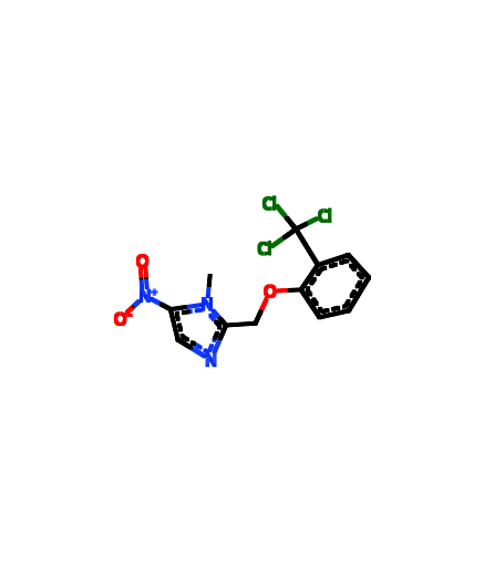 Cn1c([N+](=O)[O-])cnc1COc1ccccc1C(Cl)(Cl)Cl